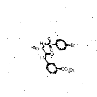 CCCC[C@H](NS(=O)(=O)c1ccc(Br)cc1)C(=O)Nc1cccc(C(=O)OCC)c1